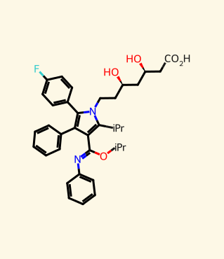 CC(C)O/C(=N\c1ccccc1)c1c(-c2ccccc2)c(-c2ccc(F)cc2)n(CC[C@@H](O)C[C@@H](O)CC(=O)O)c1C(C)C